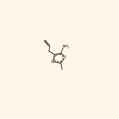 C=CCc1nc(C)sc1N